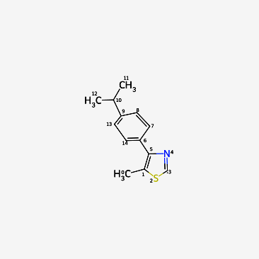 Cc1s[c]nc1-c1ccc(C(C)C)cc1